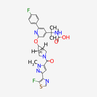 Cn1nc(-c2ncsc2F)cc1C(=O)N1C[C@@H]2C(Oc3cc(C(C)(C)NC(=O)O)cc(-c4ccc(F)cc4)n3)[C@@H]2C1